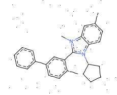 Cc1ccc2c(c1)[n+](C)c(-c1cc(-c3ccccc3)ccc1C)n2C1CCCC1